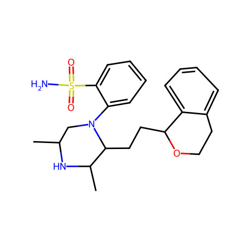 CC1CN(c2ccccc2S(N)(=O)=O)C(CCC2OCCc3ccccc32)C(C)N1